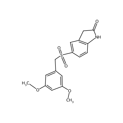 COc1cc(CS(=O)(=O)c2ccc3c(c2)CC(=O)N3)cc(OC)c1